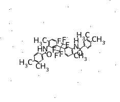 Cc1ccc(C(=O)Nc2cc(C(c3ccc(C)c(NC(=O)c4ccc(C)c(C)c4)c3)(C(F)(F)F)C(F)(F)F)ccc2C)cc1C